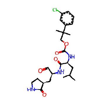 CC(C)C[C@H](NC(=O)OCC(C)(C)c1cccc(Cl)c1)C(=O)N[C@H](C=O)C[C@@H]1CCNC1=O